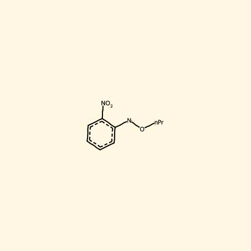 CCCO[N]c1ccccc1[N+](=O)[O-]